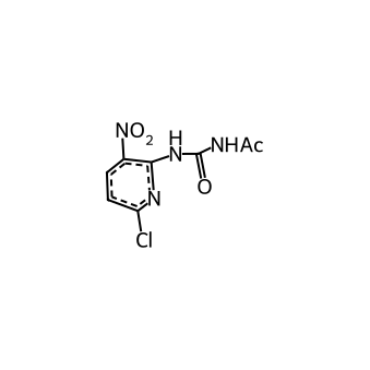 [CH2]C(=O)NC(=O)Nc1nc(Cl)ccc1[N+](=O)[O-]